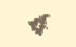 CC[C@@]1(O)C(=O)OCc2c1cc1n(c2=O)Cc2c-1nc1cc(F)c(C)c3c1c2[C@@H](NC(=O)COCNC(=O)CNC(=O)[C@H](Cc1ccccc1)NC(=O)CNC(=O)CNC(=O)[C@@H](N)CCC(=O)NC1O[C@H](C(=O)NC2O[C@H](CO)[C@@H](O)[C@H]2O)[C@@H](O)[C@H]1O)CC3